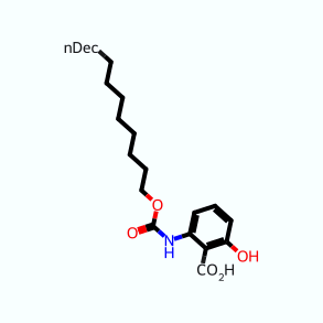 CCCCCCCCCCCCCCCCCCOC(=O)Nc1cccc(O)c1C(=O)O